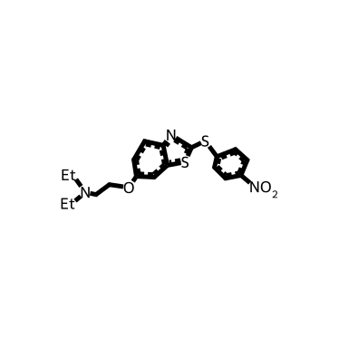 CCN(CC)CCOc1ccc2nc(Sc3ccc([N+](=O)[O-])cc3)sc2c1